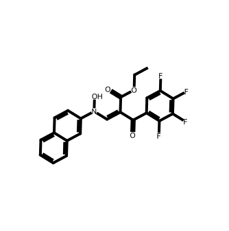 CCOC(=O)C(=CN(O)c1ccc2ccccc2c1)C(=O)c1cc(F)c(F)c(F)c1F